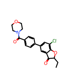 CCC1Oc2c(Cl)cc(-c3ccc(C(=O)N4CCOCC4)cc3)cc2C1=O